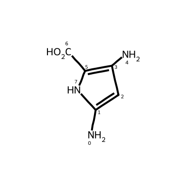 Nc1cc(N)c(C(=O)O)[nH]1